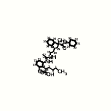 CCCCC(C(=O)O)c1c(C)cccc1NC(=S)NCCCCC(C)(C(=O)Oc1ccccc1)c1ccccc1